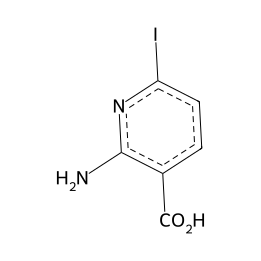 Nc1nc(I)ccc1C(=O)O